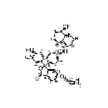 Cc1cc(C2(c3ccc(O)c(C)c3)OC(=O)c3ccccc32)ccc1O.O=S(=O)(O)O.Oc1cccc2cccnc12.[CaH2]